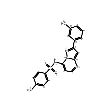 CC(C)(C)c1ccc(S(=O)(=O)Nc2ccnc3cc(-c4cccc(C#N)c4)nn23)cc1